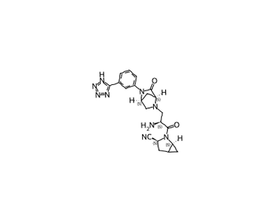 N#C[C@@H]1CC2C[C@@H]2N1C(=O)[C@@H](N)CN1C[C@@H]2C[C@H]1C(=O)N2c1cccc(-c2nnn[nH]2)c1